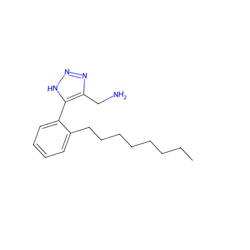 CCCCCCCCc1ccccc1-c1[nH]nnc1CN